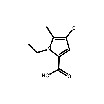 CCn1c(C(=O)O)cc(Cl)c1C